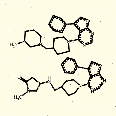 CN1CC(NCC2CCN(c3ncnc4scc(-c5ccccc5)c34)CC2)CC1=O.N[C@H]1CCCN(CC2CCN(c3ncnc4scc(-c5ccccc5)c34)CC2)C1